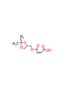 CC1(C)OCC(COC(=O)/C=C\C(=O)O)O1